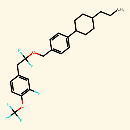 CCCC1CCC(c2ccc(COC(F)(F)Cc3ccc(OC(F)(F)F)c(F)c3)cc2)CC1